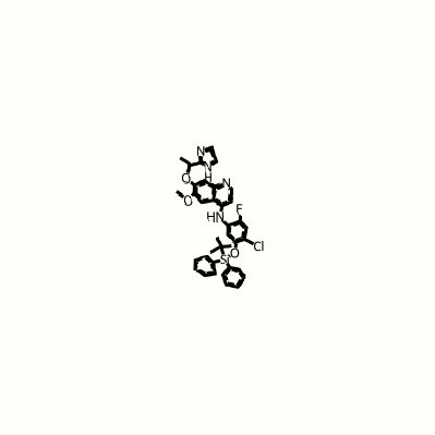 COc1cc2c(Nc3cc(O[Si](c4ccccc4)(c4ccccc4)C(C)(C)C)c(Cl)cc3F)ccnc2cc1OC(C)c1ncc[nH]1